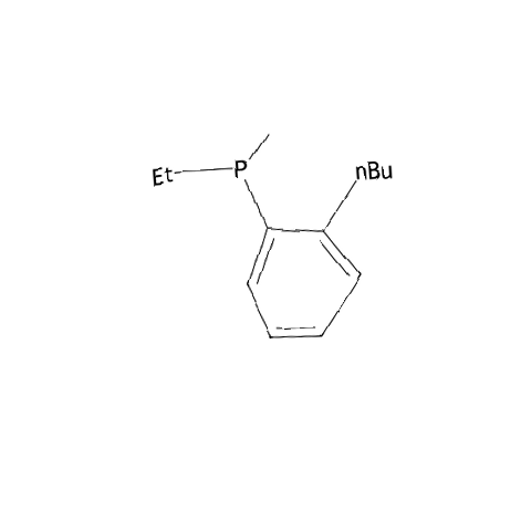 CCCCc1ccccc1P(C)CC